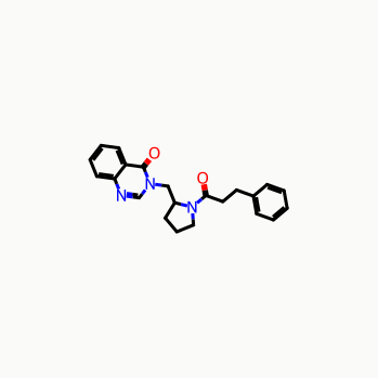 O=C(CCc1ccccc1)N1CCCC1Cn1cnc2ccccc2c1=O